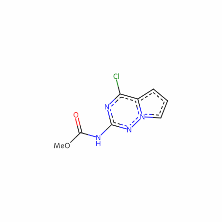 COC(=O)Nc1nc(Cl)c2cccn2n1